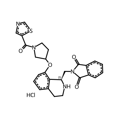 Cl.O=C(c1cncs1)N1CCC(Oc2cccc3c2[C@@H](CN2C(=O)c4ccccc4C2=O)NCC3)C1